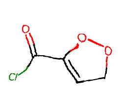 O=C(Cl)C1=CCOO1